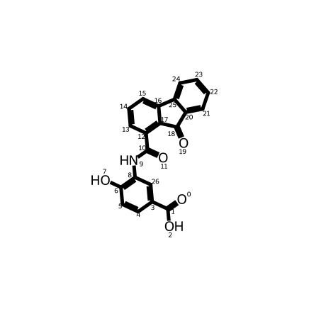 O=C(O)c1ccc(O)c(NC(=O)c2cccc3c2C(=O)c2ccccc2-3)c1